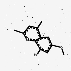 COc1cc(Br)c2nc(C)cc(C)c2c1